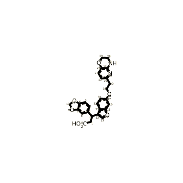 O=C(O)CC(c1ccc2c(c1)OCO2)c1coc2cc(OCCc3ccc4c(n3)NCCO4)ccc12